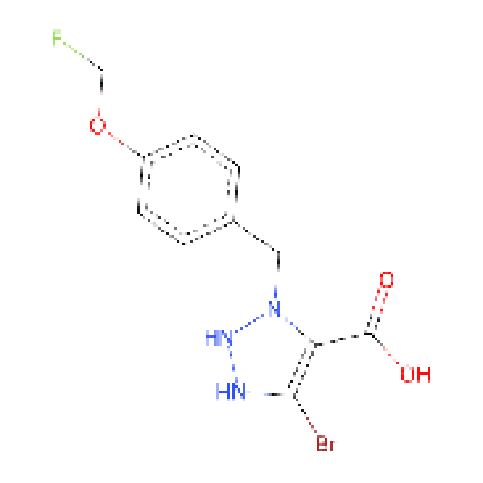 O=C(O)C1=C(Br)NNN1Cc1ccc(OCF)cc1